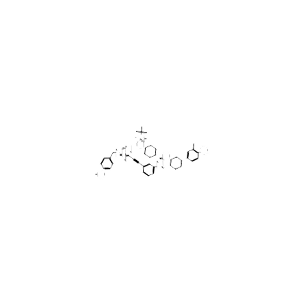 COc1ccc(Cn2cnc(C#Cc3cccc(N(C[C@H]4CC[C@H](c5ccc(OC)c(C)c5)CC4)C(=O)[C@H]4CC[C@H](O[Si](C)(C)C(C)(C)C)CC4)c3)n2)cc1